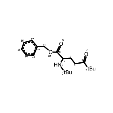 CC(C)(C)NC(CCC(=O)C(C)(C)C)C(=O)OCc1ccccc1